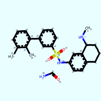 CNC1CCCc2ccc(NS(=O)(=O)c3cccc(-c4cccc(C)c4C)c3)cc21.NC=O